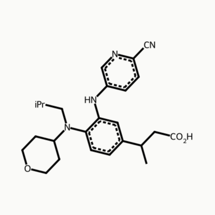 CC(C)CN(c1ccc(C(C)CC(=O)O)cc1Nc1ccc(C#N)nc1)C1CCOCC1